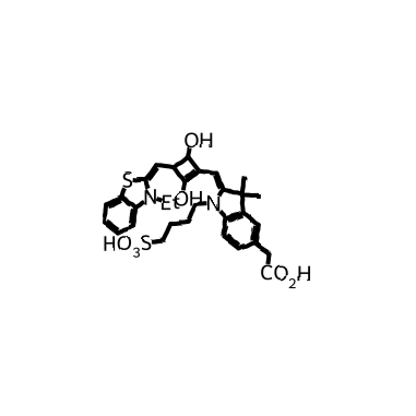 CCN1C(=CC2C(O)=C(C=C3N(CCCCS(=O)(=O)O)c4ccc(CC(=O)O)cc4C3(C)C)C2O)Sc2ccccc21